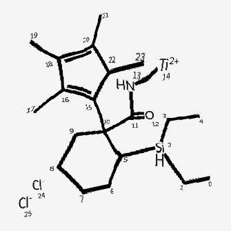 CC[SiH](CC)C1CCCCC1(C(=O)[NH][Ti+2])C1=C(C)C(C)=C(C)C1C.[Cl-].[Cl-]